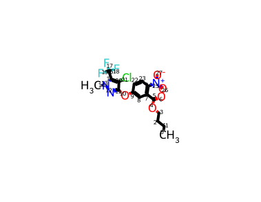 C[CH]CCOC(=O)c1cc(Oc2nn(C)c(C(F)(F)F)c2Cl)ccc1[N+](=O)[O-]